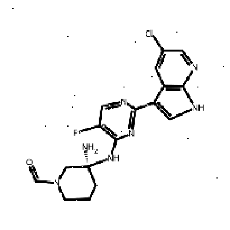 N[C@]1(Nc2nc(-c3c[nH]c4ncc(Cl)cc34)ncc2F)CCCN(C=O)C1